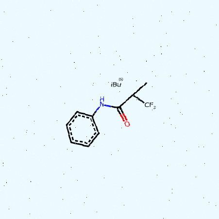 CC[C@H](C)C(C)(C(=O)Nc1ccccc1)C(F)(F)F